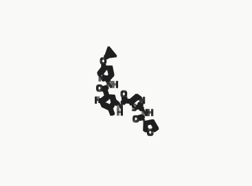 Cc1cc(F)c(C(=O)Nc2ccc(OC3CC3)cn2)cc1NC(=O)c1cnc(NC(=O)[C@@H]2CCOC2)s1